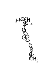 C=CC(=O)OCCOc1ccc(-c2ccc(C(=O)Oc3ccc(OCCCOC(=O)C(=C)CO)cc3)cc2)cc1